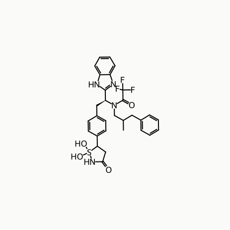 CC(Cc1ccccc1)CN(C(=O)C(F)(F)F)[C@@H](Cc1ccc(C2CC(=O)NS2(O)O)cc1)c1nc2ccccc2[nH]1